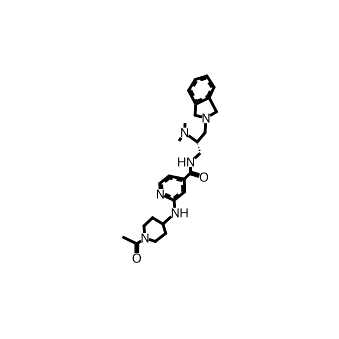 CC(=O)N1CCC(Nc2cc(C(=O)NC[C@@H](CN3Cc4ccccc4C3)N(C)C)ccn2)CC1